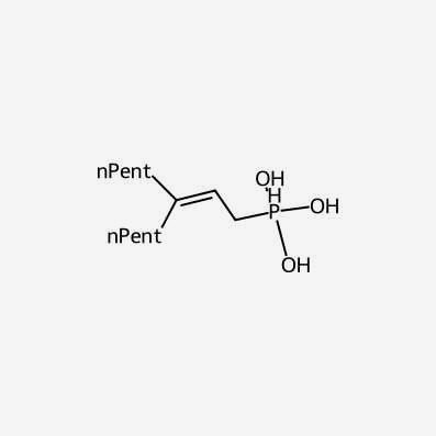 CCCCCC(=CC[PH](O)(O)O)CCCCC